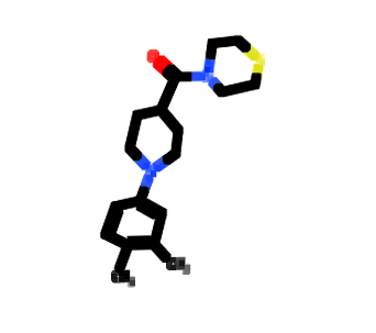 Cc1ccc(N2CCC(C(=O)N3CCSCC3)CC2)cc1C